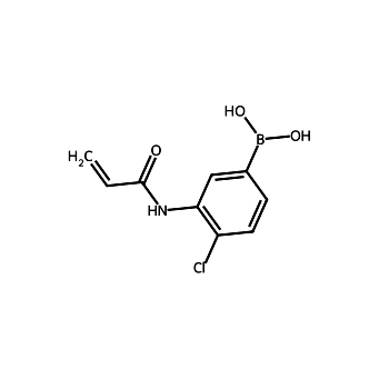 C=CC(=O)Nc1cc(B(O)O)ccc1Cl